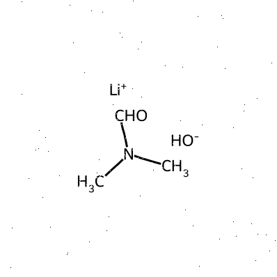 CN(C)C=O.[Li+].[OH-]